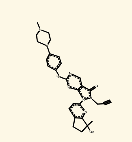 C#CCn1c(=O)c2cnc(Nc3ccc(N4CCN(C)CC4)cc3)nc2n1-c1ccc2c(n1)C(C)(O)CC2